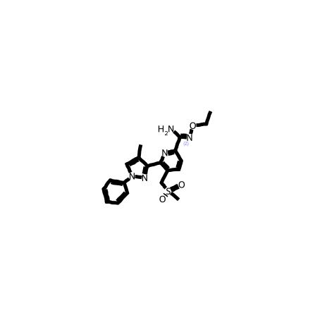 CCO/N=C(\N)c1ccc(CS(C)(=O)=O)c(-c2nn(-c3ccccc3)cc2C)n1